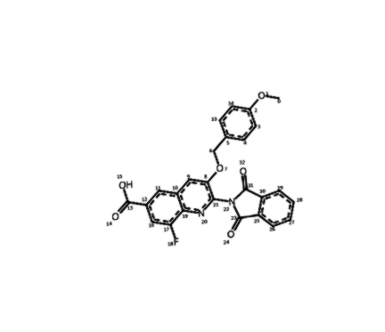 COc1ccc(COc2cc3cc(C(=O)O)cc(F)c3nc2N2C(=O)c3ccccc3C2=O)cc1